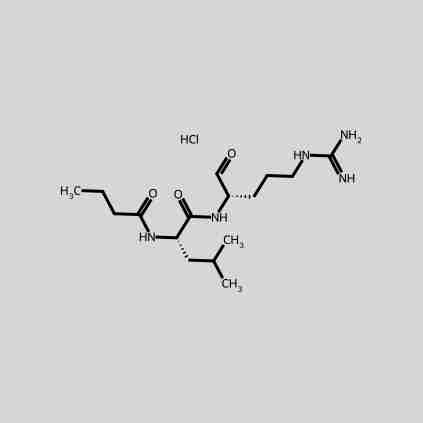 CCCC(=O)N[C@@H](CC(C)C)C(=O)N[C@H](C=O)CCCNC(=N)N.Cl